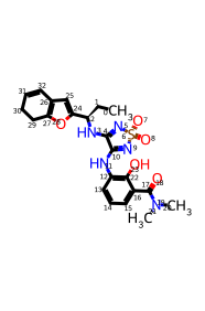 CC[C@@H](NC1=NS(=O)(=O)N=C1Nc1cccc(C(=O)N(C)C)c1O)c1cc2c(o1)CCC=C2